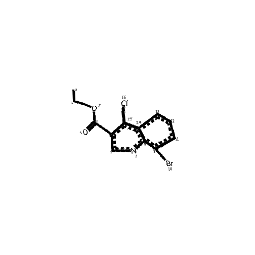 CCOC(=O)c1cnc2c(Br)cccc2c1Cl